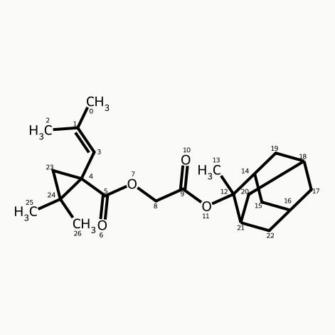 CC(C)=CC1(C(=O)OCC(=O)OC2(C)C3CC4CC(C3)CC2C4)CC1(C)C